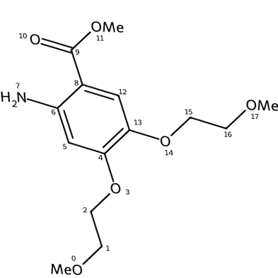 COCCOc1cc(N)c(C(=O)OC)cc1OCCOC